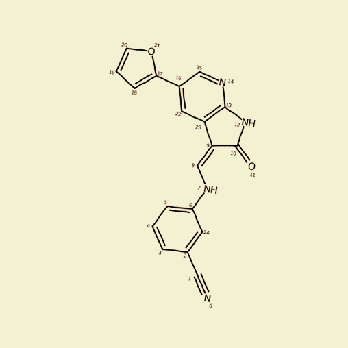 N#Cc1cccc(NC=C2C(=O)Nc3ncc(-c4ccco4)cc32)c1